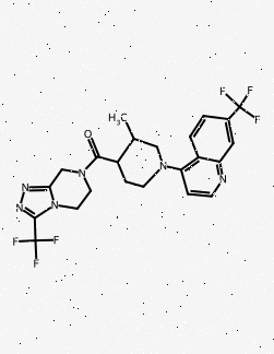 CC1CN(c2ccnc3cc(C(F)(F)F)ccc23)CCC1C(=O)N1CCn2c(nnc2C(F)(F)F)C1